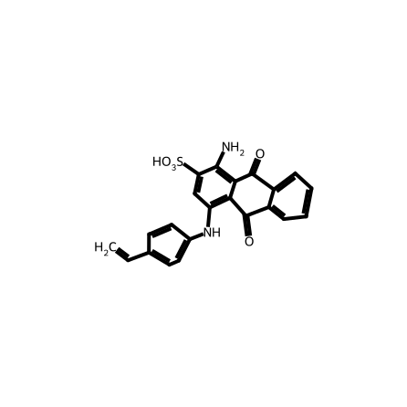 C=Cc1ccc(Nc2cc(S(=O)(=O)O)c(N)c3c2C(=O)c2ccccc2C3=O)cc1